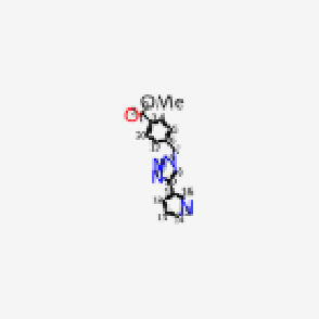 COC(=O)c1ccc(Cn2cc(-c3cccnc3)nn2)cc1